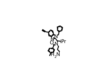 C#Cc1ccc2c(c1)nc(C(C(C)C)N(CCCN)C(=O)c1ccc(C)cc1)n2Cc1ccccc1